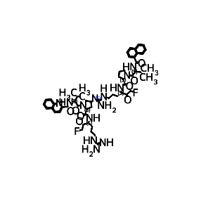 CC(C)[C@H](NC(=O)c1ccc2ccccc2n1)C(=O)N1CC(/N=C(\N)NCCC[C@H](NC(=O)[C@@H]2CCCN2C(=O)[C@@H](NC(=O)c2cccc3ccccc23)C(C)C)C(=O)CF)C[C@H]1C(=O)N[C@@H](CCCNC(=N)N)C(=O)CF